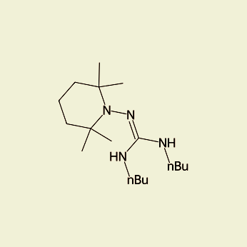 CCCCNC(=NN1C(C)(C)CCCC1(C)C)NCCCC